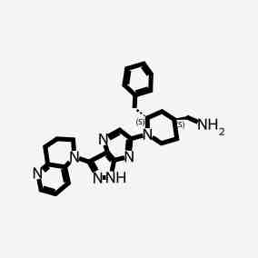 NC[C@H]1CCN(c2cnc3c(N4CCCc5ncccc54)n[nH]c3n2)[C@H](Cc2ccccc2)C1